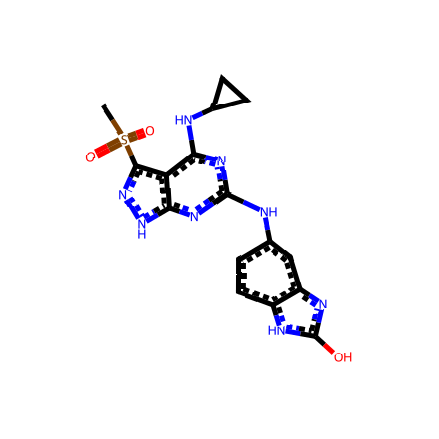 CS(=O)(=O)c1n[nH]c2nc(Nc3ccc4[nH]c(O)nc4c3)nc(NC3CC3)c12